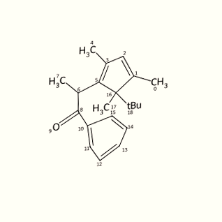 CC1=CC(C)=C(C(C)C(=O)c2ccccc2)C1(C)C(C)(C)C